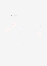 CCOC(=O)c1nc(C(F)(F)F)sc1N[C@H]1CNC(=O)C1